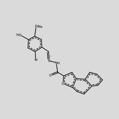 COc1cc(/C=N/NC(=O)c2cc3c(ccc4ccccc43)o2)c(Br)cc1O